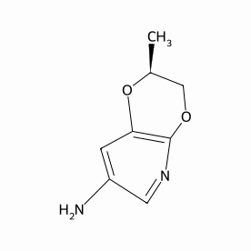 C[C@H]1COc2ncc(N)cc2O1